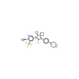 N#Cc1ncc(N2C(=O)C3(CCC3)N(c3ccc(N4CCOCC4)cc3)C2=S)cc1C(F)(F)F